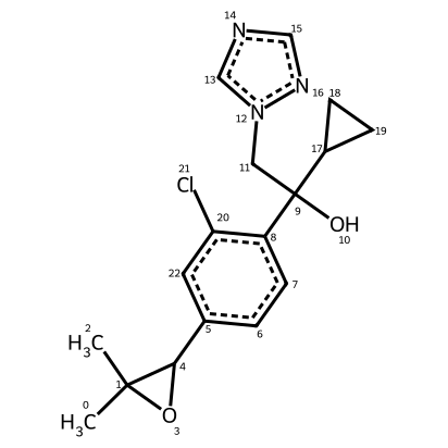 CC1(C)OC1c1ccc(C(O)(Cn2cncn2)C2CC2)c(Cl)c1